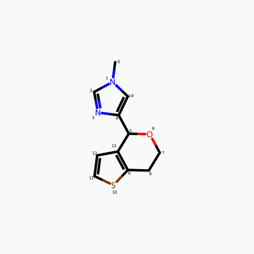 Cn1cnc(C2OCCc3sccc32)c1